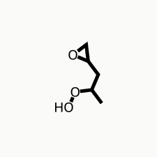 CC(CC1CO1)OO